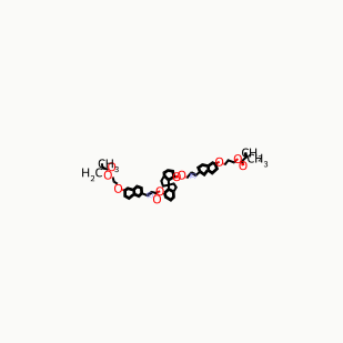 C=C(C)C(=O)OCCCOc1ccc2cc(/C=C/COOc3cccc4c3C3(CC4)CCc4cccc(OC(=O)/C=C/c5ccc6cc(OCCCOC(=O)C(=C)C)ccc6c5)c43)ccc2c1